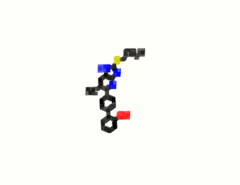 N#Cc1cc2[nH]c(SCC(=O)O)nc2nc1-c1ccc(-c2ccccc2O)cc1